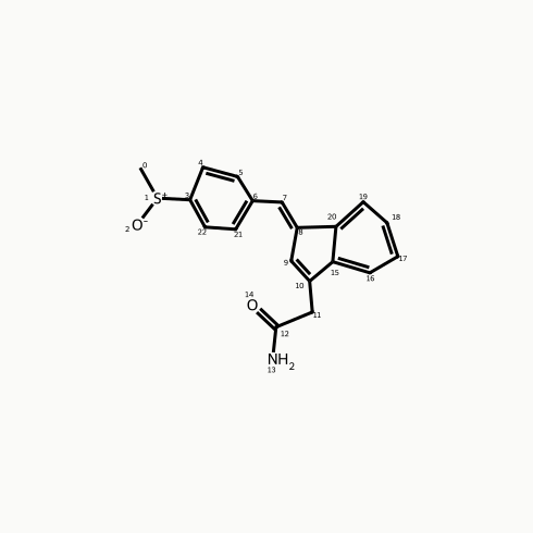 C[S+]([O-])c1ccc(/C=C2\C=C(CC(N)=O)c3ccccc32)cc1